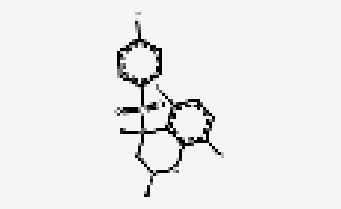 C[C@H]1C[C@](C)(S(=O)(=O)c2ccc(Cl)cc2)c2c(F)ccc(F)c2O1